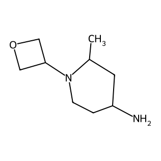 CC1CC(N)CCN1C1COC1